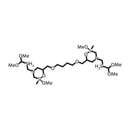 COC(OC)[SiH2]CN1CC(COCCCCOCC2CN(C[SiH2]C(OC)OC)C[Si](C)(OC)O2)O[Si](C)(OC)C1